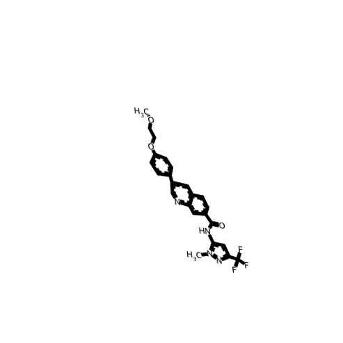 COCCOc1ccc(-c2cnc3cc(C(=O)Nc4cc(C(F)(F)F)nn4C)ccc3c2)cc1